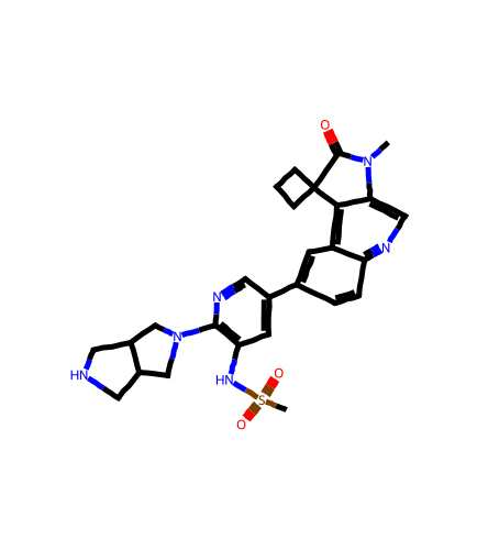 CN1C(=O)C2(CCC2)c2c1cnc1ccc(-c3cnc(N4CC5CNCC5C4)c(NS(C)(=O)=O)c3)cc21